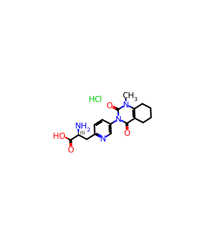 Cl.Cn1c2c(c(=O)n(-c3ccc(C[C@H](N)C(=O)O)nc3)c1=O)CCCC2